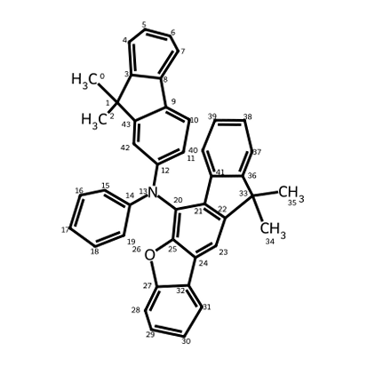 CC1(C)c2ccccc2-c2ccc(N(c3ccccc3)c3c4c(cc5c3oc3ccccc35)C(C)(C)c3ccccc3-4)cc21